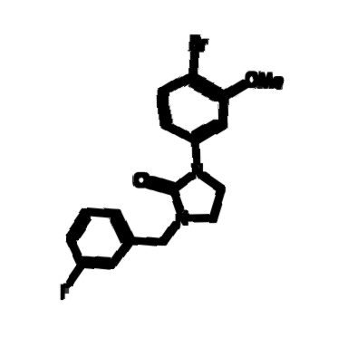 COc1cc(N2CCN(Cc3cccc(F)c3)C2=O)ccc1Br